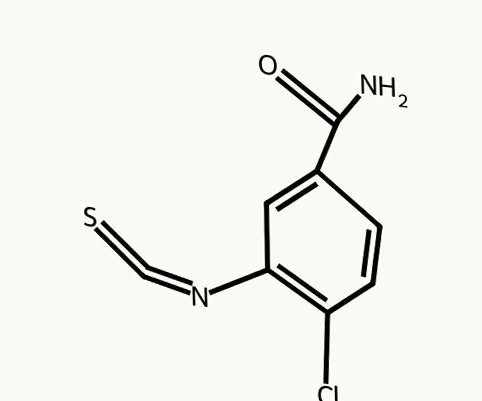 NC(=O)c1ccc(Cl)c(N=C=S)c1